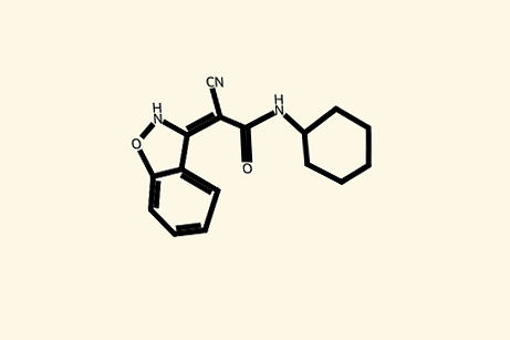 N#CC(C(=O)NC1CCCCC1)=C1NOc2ccccc21